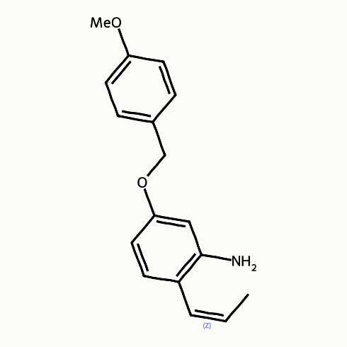 C/C=C\c1ccc(OCc2ccc(OC)cc2)cc1N